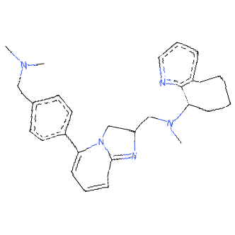 CN(C)Cc1ccc(C2=CC=CC3=NC(CN(C)C4CCCc5cccnc54)CN23)cc1